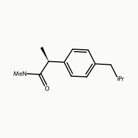 CNC(=O)[C@@H](C)c1ccc(CC(C)C)cc1